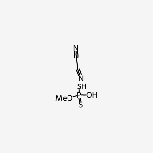 COP(O)(=S)S.N#CC#N